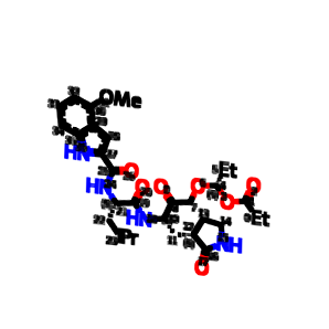 CCC(=O)O[C@@H](CC)OCC(=O)[C@H](C[C@@H]1CCNC1=O)NC(=O)[C@H](CC(C)C)NC(=O)c1cc2c(OC)cccc2[nH]1